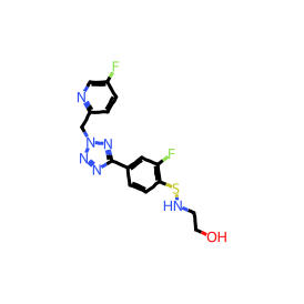 OCCNSc1ccc(-c2nnn(Cc3ccc(F)cn3)n2)cc1F